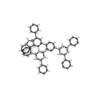 c1ccc(-c2nc(-c3ccccc3)nc(-c3ccc(-c4cc(-c5ccccc5)c5sc6ccccc6c5c4)c(-c4nc(-c5ccccc5)nc(-c5ccccc5)n4)c3)n2)cc1